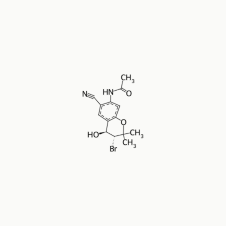 CC(=O)Nc1cc2c(cc1C#N)[C@H](O)[C@@H](Br)C(C)(C)O2